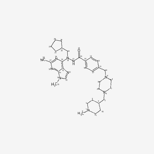 CN1CCC(CN2CCN(Cc3ccc(C(=O)NN(CC4CCCC4)c4nc(C#N)nc5c4ncn5C)cc3)CC2)CC1